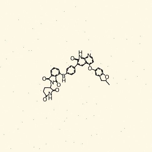 CC1Cc2cc(Oc3ccnc4[nH]c(=O)c(-c5ccc(Bc6cccc7c6C(=O)N(C6CCC(=O)NC6=O)C7=O)cc5)cc34)ccc2O1